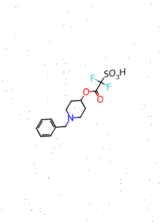 O=C(OC1CCN(Cc2ccccc2)CC1)C(F)(F)S(=O)(=O)O